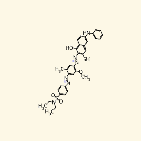 CCN(CC)S(=O)(=O)c1ccc(/N=N/c2cc(OC)c(/N=N/c3c(S)cc4cc(Nc5ccccc5)ccc4c3O)cc2C)cc1